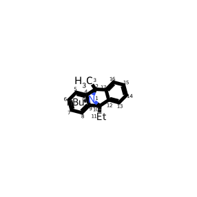 CCCCN1C2(C)c3ccccc3C1(CC)c1ccccc12